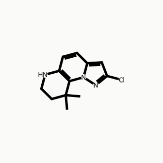 CC1(C)CCNc2ccc3cc(Cl)nn3c21